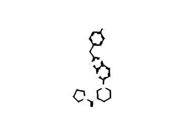 O=C([C@@H]1CCCN(c2ccc3nc(Cc4ccc(Cl)cc4)[nH]c3n2)C1)N1CCCC1